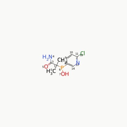 CC(C)(C(N)=O)P(O)c1ccc(Cl)nc1